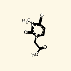 Cn1c(=O)ccn(CC(=O)O)c1=O